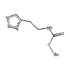 CC(C)(C)OC(=O)NCCn1cnnn1